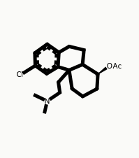 CC(=O)O[C@H]1CCCC2(CCN(C)C)c3cc(Cl)ccc3CCC12